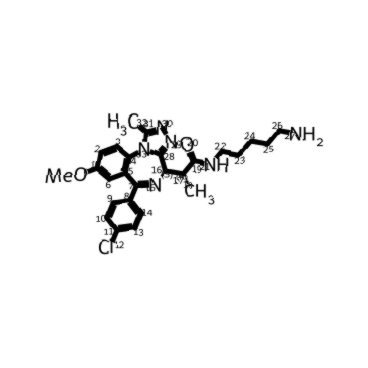 COc1ccc2c(c1)C(c1ccc(Cl)cc1)=N[C@@H]([C@@H](C)C(=O)NCCCCCN)c1nnc(C)n1-2